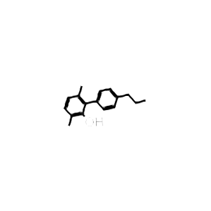 CCCc1ccc(-c2c(C)ccc(C)c2O)cc1